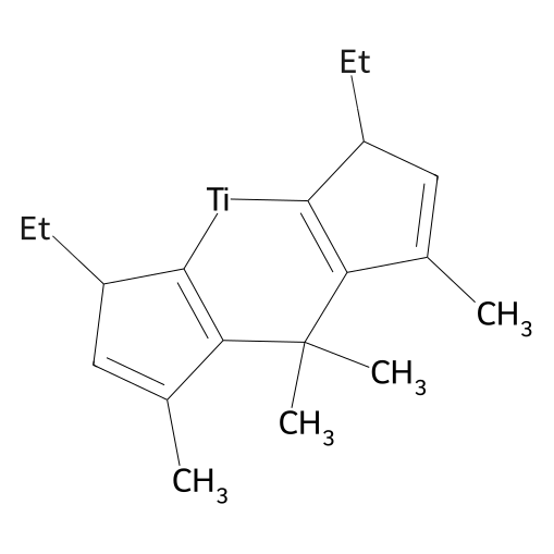 CCC1C=C(C)C2=[C]1[Ti][C]1=C(C(C)=CC1CC)C2(C)C